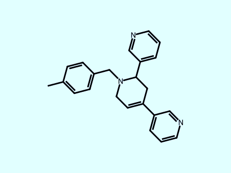 Cc1ccc(CN2CC=C(c3cccnc3)CC2c2cccnc2)cc1